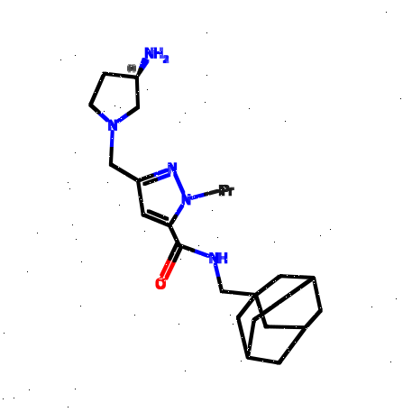 CC(C)n1nc(CN2CC[C@@H](N)C2)cc1C(=O)NCC12CC3CC(CC(C3)C1)C2